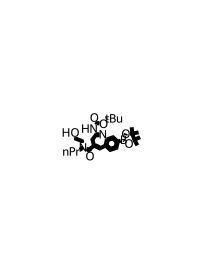 CCCN(CCO)C(=O)C1=Cc2ccc(B3OC(C)(C)C(C)(C)O3)cc2N=C(NC(=O)OC(C)(C)C)C1